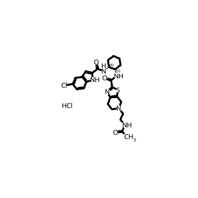 CC(=O)NCCN1CCc2nc(C(=O)N[C@H]3CCCC[C@H]3NC(=O)c3cc4cc(Cl)ccc4[nH]3)sc2C1.Cl